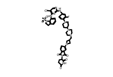 CS(=O)(=O)N1CCc2cccc(Nc3nc(Nc4ccc(N5CCC(N6CCN(CC7CN(c8ccc9c(c8)C(=O)N(C8CCC(=O)NC8=O)C9=O)C7)CC6)CC5)c(F)c4)ncc3Cl)c21